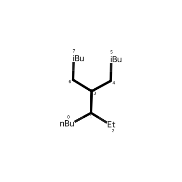 CCCCC(CC)[C](CC(C)CC)CC(C)CC